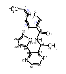 C\C=C/C=C\C(=C/C)C(=O)NC(C)c1nccnc1-c1ncno1